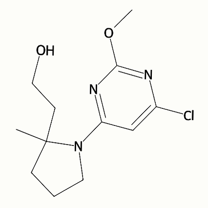 COc1nc(Cl)cc(N2CCCC2(C)CCO)n1